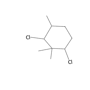 CC1CCC(Cl)C(C)(C)C1Cl